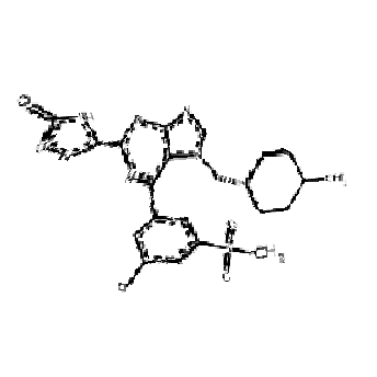 CS(=O)(=O)c1cc(Cl)cc(-c2nc(-c3noc(=O)[nH]3)nc3ncn(C[C@H]4CC[C@H](C)CC4)c23)c1